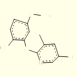 [CH2]CCc1ccc(OCCCC)cc1Oc1ncc(C(F)(F)F)cc1Cl